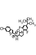 CC(c1cc(F)c(N2CCC(NS(=O)(=O)c3cc4ccc(Cl)cc4s3)C2=O)c(F)c1)N(C)C